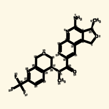 C[C@H]1OCc2c1c(N)nc1cnc(C(=O)N(C)[C@@H]3COCc4nc(C(F)(F)F)ccc43)cc21